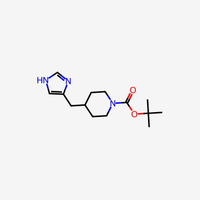 CC(C)(C)OC(=O)N1CCC(Cc2c[nH]cn2)CC1